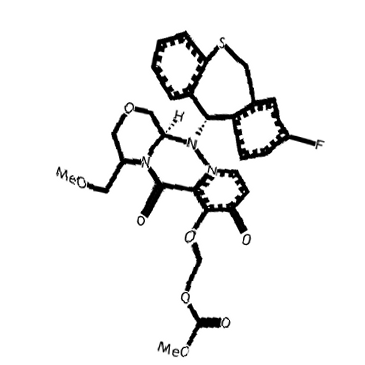 COCC1COC[C@@H]2N1C(=O)c1c(OCOC(=O)OC)c(=O)ccn1N2[C@H]1c2ccc(F)cc2CSc2ccccc21